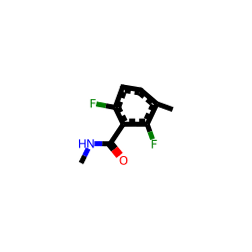 CNC(=O)c1c(F)ccc(C)c1F